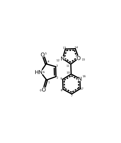 O=C1C=CC(=O)N1.c1ccc(-c2ncco2)nc1